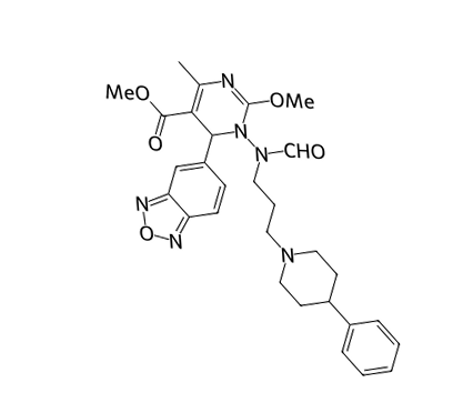 COC(=O)C1=C(C)N=C(OC)N(N(C=O)CCCN2CCC(c3ccccc3)CC2)C1c1ccc2nonc2c1